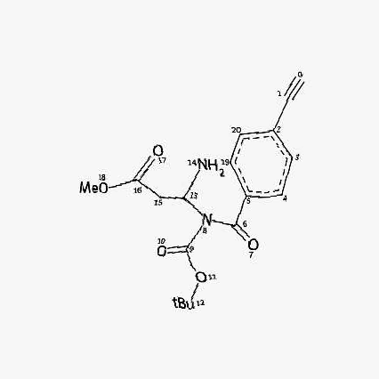 C#Cc1ccc(C(=O)N(C(=O)OC(C)(C)C)C(N)CC(=O)OC)cc1